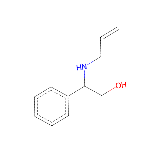 C=CCNC(CO)c1ccccc1